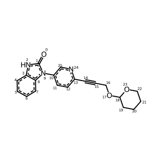 O=c1[nH]c2ccccc2n1-c1ccc(C#CCOC2CCCCO2)nc1